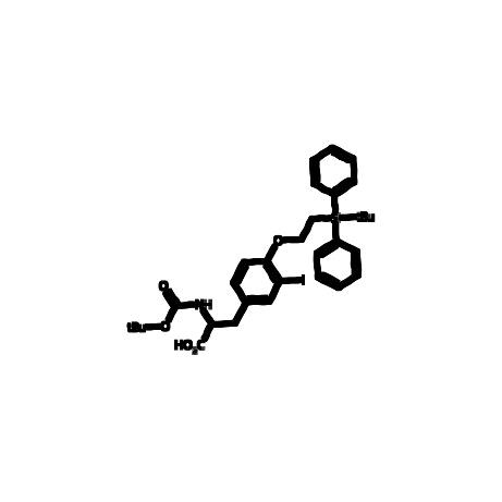 CC(C)(C)OC(=O)NC(Cc1ccc(OCC[Si](c2ccccc2)(c2ccccc2)C(C)(C)C)c(I)c1)C(=O)O